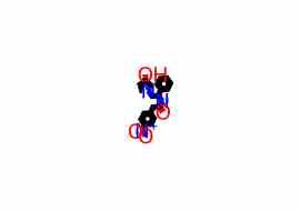 CN(C(=O)Cc1ccc([N+](=O)[O-])cc1)C(CN1CCC(O)C1)c1ccccc1